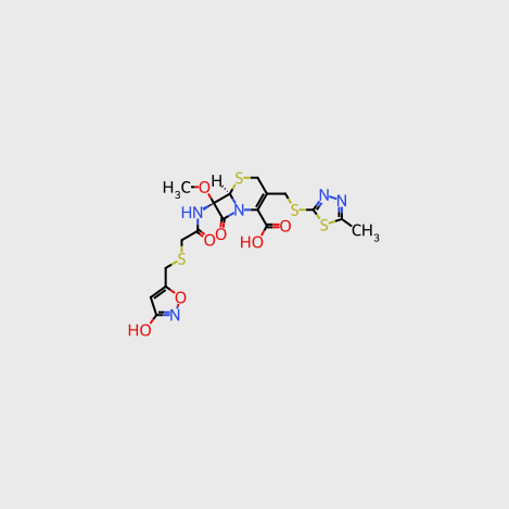 CO[C@@]1(NC(=O)CSCc2cc(O)no2)C(=O)N2C(C(=O)O)=C(CSc3nnc(C)s3)CS[C@@H]21